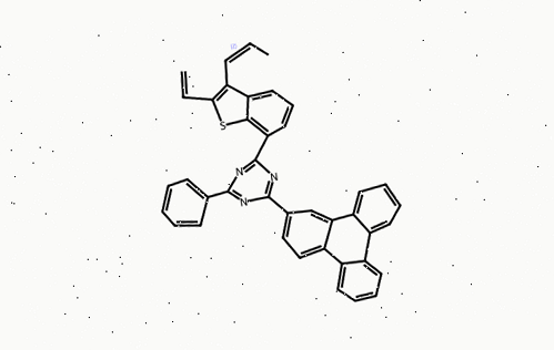 C=Cc1sc2c(-c3nc(-c4ccccc4)nc(-c4ccc5c6ccccc6c6ccccc6c5c4)n3)cccc2c1/C=C\C